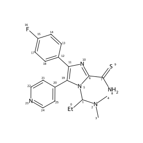 CCC(N(C)C)n1c(C(N)=S)nc(-c2ccc(F)cc2)c1-c1ccncc1